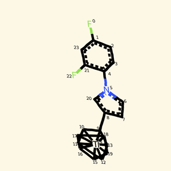 Fc1ccc(-n2ccc([C]34[CH]5[CH]6[CH]7[CH]3[Ti]6754389%10[CH]4[CH]3[CH]8[CH]9[CH]4%10)c2)c(F)c1